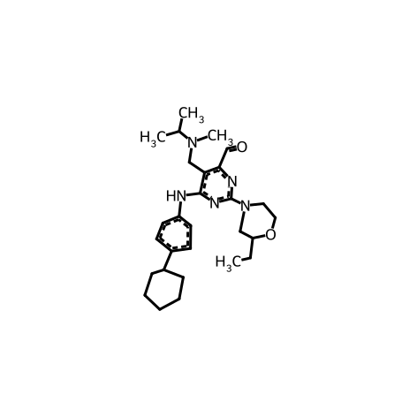 CCC1CN(c2nc(C=O)c(CN(C)C(C)C)c(Nc3ccc(C4CCCCC4)cc3)n2)CCO1